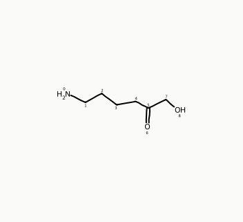 NCCCCC(=O)CO